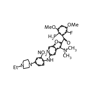 CCN1CCN(c2ccc(Nc3cc4c(N(C)C)c(C(=O)c5c(F)c(OC)cc(OC)c5P)oc4cn3)c([N+](=O)[O-])c2)CC1